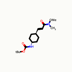 CON(C)C(=O)C=C[C@H]1CC[C@H](NC(=O)OC(C)(C)C)CC1